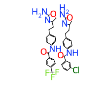 NC1=NC(CCc2ccc(NC(=O)c3ccc(C(F)(F)F)cc3)cc2)CO1.NC1=NC(CCc2ccc(NC(=O)c3cccc(Cl)c3)cc2)CO1